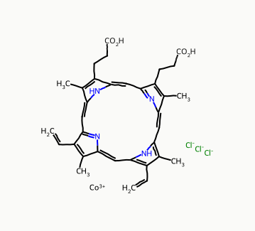 C=CC1=C(C)c2cc3[nH]c(cc4nc(cc5[nH]c(cc1n2)c(C)c5CCC(=O)O)C(CCC(=O)O)=C4C)c(C)c3C=C.[Cl-].[Cl-].[Cl-].[Co+3]